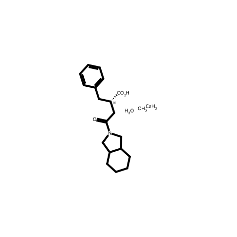 O.O.O=C(O)[C@H](CC(=O)N1CC2CCCCC2C1)Cc1ccccc1.[CaH2]